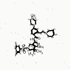 CN1CCN(c2ccc(C(=O)Nc3n[nH]c4c3CN(S(=O)(=O)c3cc(F)cc(F)c3)CC4(C)C)c(CCN3CCCCC3)c2)CC1